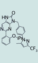 Cc1cc(C(F)(F)F)nn1-c1ccc(Cn2c(=O)[nH]c3cnc(-c4ccccc4OC(C)C)nc32)cc1